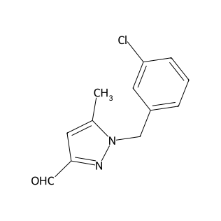 Cc1cc(C=O)nn1Cc1cccc(Cl)c1